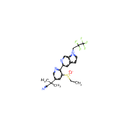 CC[S+]([O-])c1cc(C(C)(C)C#N)cnc1-c1cc2ccn(CC(F)(F)C(F)(F)F)c2cn1